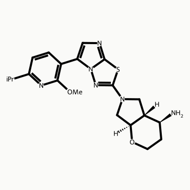 COc1nc(C(C)C)ccc1-c1cnc2sc(N3C[C@H]4[C@H](C3)OCC[C@@H]4N)nn12